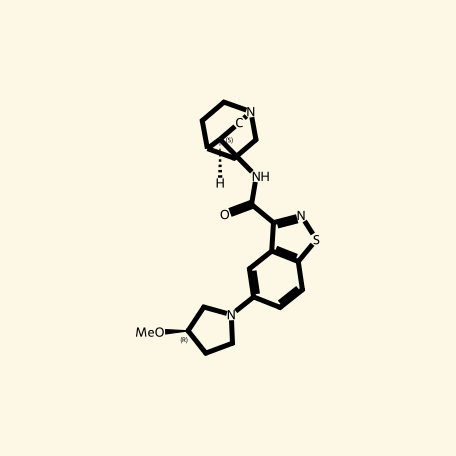 CO[C@@H]1CCN(c2ccc3snc(C(=O)N[C@@H]4CN5CCC4CC5)c3c2)C1